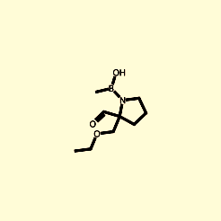 CCOCC1(C=O)CCCN1B(C)O